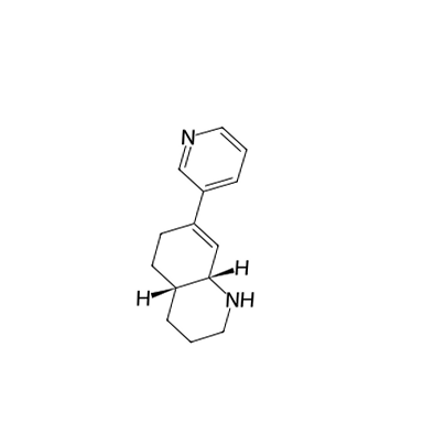 C1=C(c2cccnc2)CC[C@H]2CCCN[C@@H]12